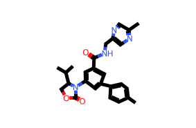 Cc1ccc(-c2cc(C(=O)NCc3cnc(C)cn3)cc(N3C(=O)OCC3C(C)C)c2)cc1